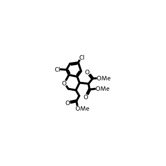 COC(=O)CC1COc2c(Cl)cc(Cl)cc2C1C(C(=O)OC)C(=O)OC